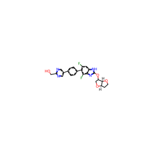 OCc1ncc(-c2ccc(-c3c(F)cc4[nH]c(OC5CO[C@@H]6CCO[C@H]56)nc4c3F)cc2)cn1